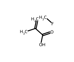 C=C(C)C(=O)O.CF